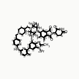 [2H]C1([2H])N(CC2CCN(Cc3ccc(Nc4ncc(F)c(-c5cc(F)c6nc(C)n(C(C)C)c6c5)n4)nc3)CC2)C([2H])([2H])C([2H])([2H])N(c2cc3c(c(F)c2F)C(=O)N(C2CCC(=O)NC2=O)C3=O)C1([2H])[2H]